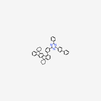 c1ccc(-c2ccc(-c3nc(-c4ccccc4)nc(-c4cccc(-c5cccc6c5-c5cc7c(cc5C65CCCCC5)-c5ccccc5C75CCCCC5)c4)n3)cc2)cc1